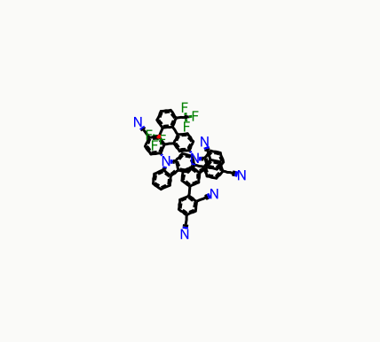 N#Cc1ccc(-c2ccc3c(c2)c2ccccc2n3-c2ccc(-c3c(C(F)(F)F)cccc3C(F)(F)F)c(-c3cc(C#N)ccc3-n3c4ccccc4c4cc(-c5ccc(C#N)cc5C#N)ccc43)c2)c(C#N)c1